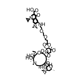 CC[C@H]1OC(=O)[C@H](C)[C@@H](O[C@H]2C[C@@](C)(OC)[C@@H](OC(=O)CCOCCOCCNc3cc4c(=O)c(C(=O)O)cn(C5CC5)c4cc3N(C)C)[C@H](C)O2)[C@H](C)[C@@H](OC2O[C@H](C)C[C@H](N(C)C)[C@H]2O)[C@](C)(O)C[C@@H](C)CN(C)[C@H](C)[C@@H](O)[C@]1(C)O